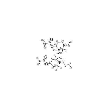 C=C(C)C(=O)OC1CC(C)(C)N(CCCC)C(C)(C)C1.C=C(C)C(=O)OC1CCN(CC)C(C)(C)C1(C)C